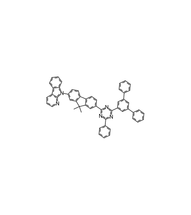 CC1(C)c2cc(-c3nc(-c4ccccc4)nc(-c4cc(-c5ccccc5)cc(-c5ccccc5)c4)n3)ccc2-c2ccc(-n3c4ccccc4c4cccnc43)cc21